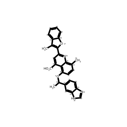 Cc1c(-c2cc(C(=O)O)c3c(OC(C)c4ccc5nc[nH]c5c4)ccc(C)c3n2)oc2ccccc12